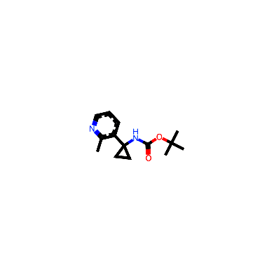 Cc1ncccc1C1(NC(=O)OC(C)(C)C)CC1